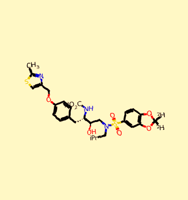 [2H]C1([2H])Oc2ccc(S(=O)(=O)N(CC(C)C)C[C@@H](O)[C@H](Cc3ccc(OCc4csc(C)n4)cc3)NC(=O)O)cc2O1